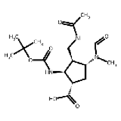 CC(=O)NC[C@@H]1[C@H](NC(=O)OC(C)(C)C)[C@@H](C(=O)O)C[C@H]1N(C)C=O